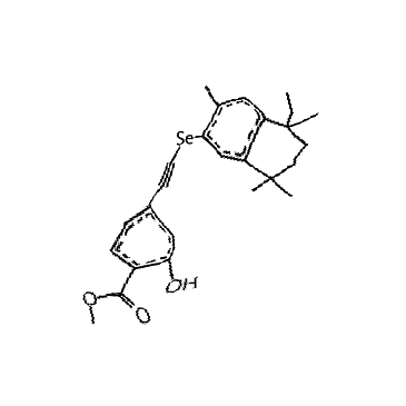 COC(=O)c1ccc(C#C[Se]c2cc3c(cc2C)C(C)(C)CCC3(C)C)cc1O